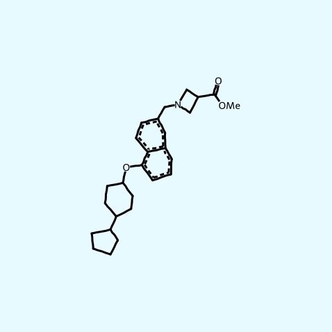 COC(=O)C1CN(Cc2ccc3c(OC4CCC(C5CCCC5)CC4)cccc3c2)C1